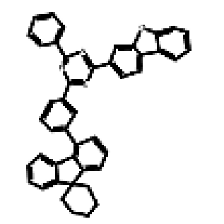 c1ccc(-c2nc(-c3cccc(-c4cccc5c4-c4ccccc4C54CCCCC4)c3)nc(-c3ccc4c(c3)oc3ccccc34)n2)cc1